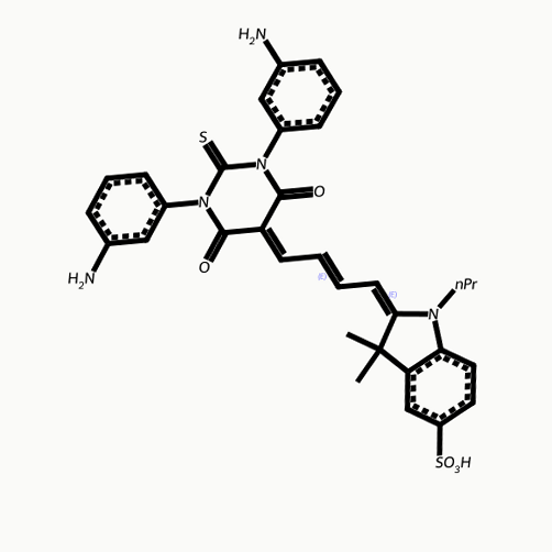 CCCN1/C(=C/C=C/C=C2C(=O)N(c3cccc(N)c3)C(=S)N(c3cccc(N)c3)C2=O)C(C)(C)c2cc(S(=O)(=O)O)ccc21